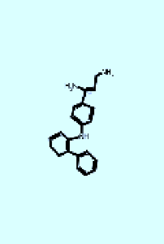 NC/C=C(\N)c1ccc(NC2=C(c3ccccc3)CCC=C2)cc1